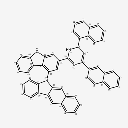 c1ccc2cc(C3=NC(c4cccc5ccccc45)NC(c4cc(-n5c6ccccc6c6cc7ccccc7cc65)c5c(c4)oc4ccccc45)=N3)ccc2c1